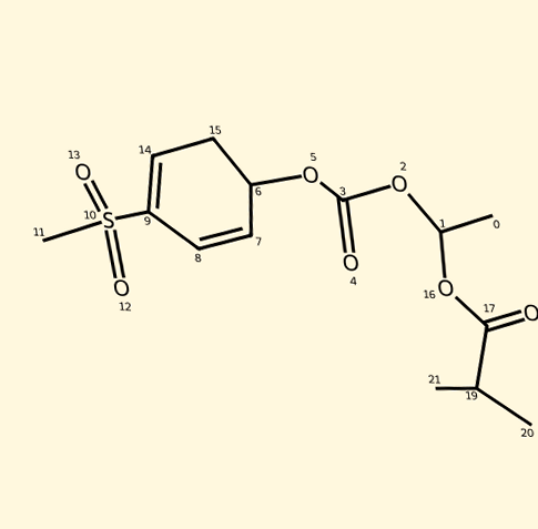 CC(OC(=O)OC1C=CC(S(C)(=O)=O)=CC1)OC(=O)C(C)C